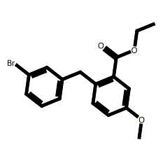 CCOC(=O)c1cc(OC)ccc1Cc1cccc(Br)c1